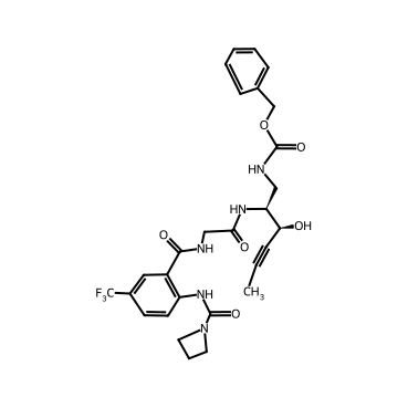 CC#C[C@H](O)[C@H](CNC(=O)OCc1ccccc1)NC(=O)CNC(=O)c1cc(C(F)(F)F)ccc1NC(=O)N1CCC1